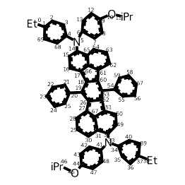 CCc1ccc(N(c2ccc(OC(C)C)cc2)c2ccc3c4c(-c5ccccc5)c5c6cccc7c(N(c8ccc(CC)cc8)c8ccc(OC(C)C)cc8)ccc(c5c(-c5ccccc5)c4c4cccc2c43)c76)cc1